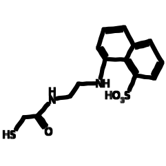 O=C(CS)NCCNc1cccc2cccc(S(=O)(=O)O)c12